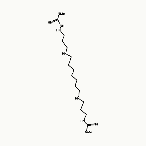 CNC(=N)NCCCNCCCCCCCNCCCNNC(=N)NC